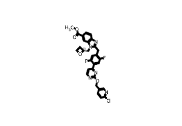 COC(=O)c1ccc2nc(Cc3cc(F)c(-c4ccnc(OCc5ccc(Cl)nc5)n4)cc3F)n(C[C@@H]3CCO3)c2c1